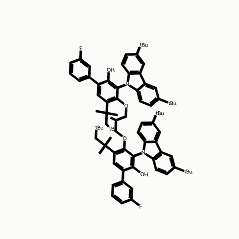 CC(COc1c(C(C)(C)CC(C)(C)C)cc(-c2cccc(F)c2)c(O)c1-n1c2ccc(C(C)(C)C)cc2c2cc(C(C)(C)C)ccc21)COc1c(C(C)(C)CC(C)(C)C)cc(-c2cccc(F)c2)c(O)c1-n1c2ccc(C(C)(C)C)cc2c2cc(C(C)(C)C)ccc21